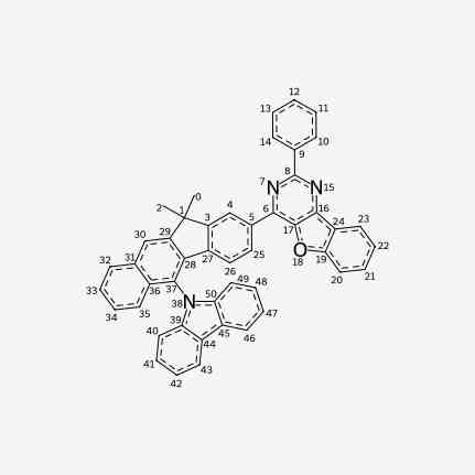 CC1(C)c2cc(-c3nc(-c4ccccc4)nc4c3oc3ccccc34)ccc2-c2c1cc1ccccc1c2-n1c2ccccc2c2ccccc21